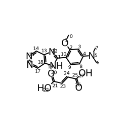 COc1cc(N(C)C)ccc1-c1nc2cnncc2[nH]1.O=C(O)C=CC(=O)O